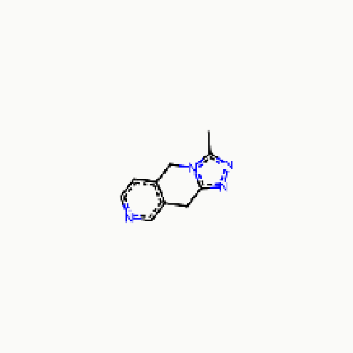 Cc1nnc2n1Cc1ccncc1C2